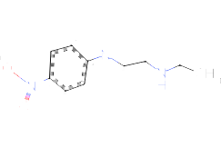 CCNCCNc1ccc([N+](=O)[O-])cc1